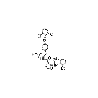 CCc1cccc(CC)c1NC(=O)[C@@H]1OCO[C@H]1C(=O)N[C@@H](Cc1ccc(OCc2c(Cl)cccc2Cl)cc1)C(=O)O